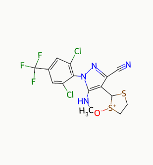 CNc1c(C2SCC[S+]2[O-])c(C#N)nn1-c1c(Cl)cc(C(F)(F)F)cc1Cl